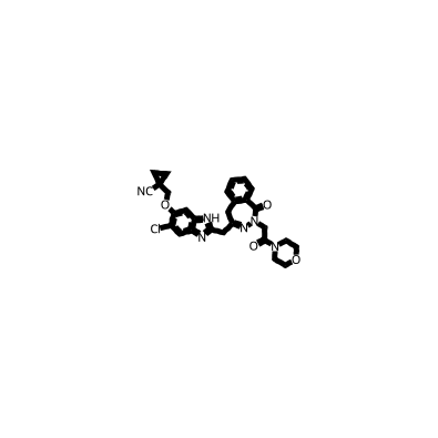 N#CC1(COc2cc3[nH]c(CC4=NN(CC(=O)N5CCOCC5)C(=O)c5ccccc5C4)nc3cc2Cl)CC1